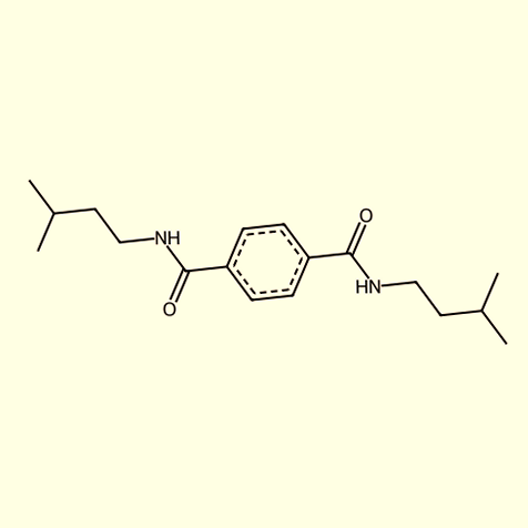 CC(C)CCNC(=O)c1ccc(C(=O)NCCC(C)C)cc1